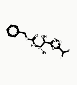 CC(C)[C@H](NC(=O)OCc1ccccc1)C(O)c1noc(C(F)F)n1